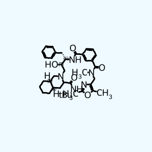 Cc1nc(CN(C)C(=O)c2cccc(C(=O)N[C@@H](Cc3ccccc3)[C@H](O)CN3C[C@H]4CCCC[C@H]4CC3C(=O)NC(C)(C)C)c2)c(C)o1